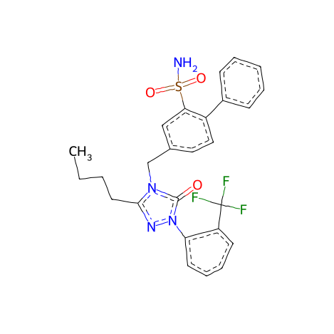 CCCCc1nn(-c2ccccc2C(F)(F)F)c(=O)n1Cc1ccc(-c2ccccc2)c(S(N)(=O)=O)c1